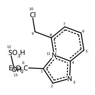 CCOC(=O)c1cnc2cccc(CCl)n12.O=S(=O)(O)O